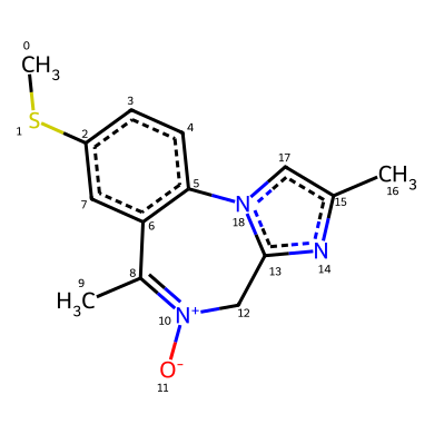 CSc1ccc2c(c1)C(C)=[N+]([O-])Cc1nc(C)cn1-2